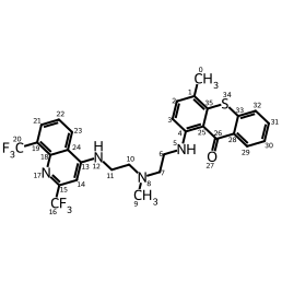 Cc1ccc(NCCN(C)CCNc2cc(C(F)(F)F)nc3c(C(F)(F)F)cccc23)c2c(=O)c3ccccc3sc12